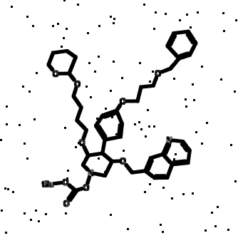 CC(C)(C)OC(=O)ON1CC(OCCCCOC2CCCCO2)C(c2ccc(OCCCOCc3ccccc3)cc2)C(OCc2ccc3cccnc3c2)C1